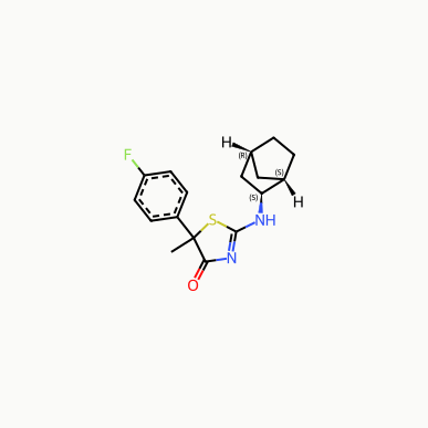 CC1(c2ccc(F)cc2)SC(N[C@H]2C[C@@H]3CC[C@H]2C3)=NC1=O